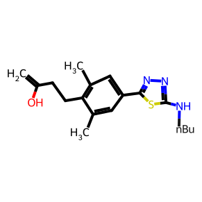 C=C(O)CCc1c(C)cc(-c2nnc(NCCCC)s2)cc1C